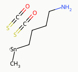 O=C=S.O=C=S.[CH3][Sn][CH2]CCCN